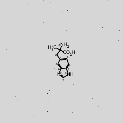 CC(N)(Cc1ccc2[nH]cnc2c1)C(=O)O